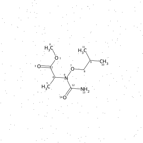 COC(=O)C(C)N(OCC(C)C)C(N)=O